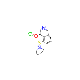 ClOc1cncc2cccc(SN3CCCC3)c12